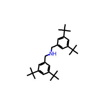 CC(C)(C)c1cc(CNCc2cc(C(C)(C)C)cc(C(C)(C)C)c2)cc(C(C)(C)C)c1